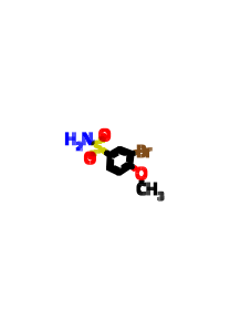 COc1ccc(S(N)(=O)=O)cc1Br